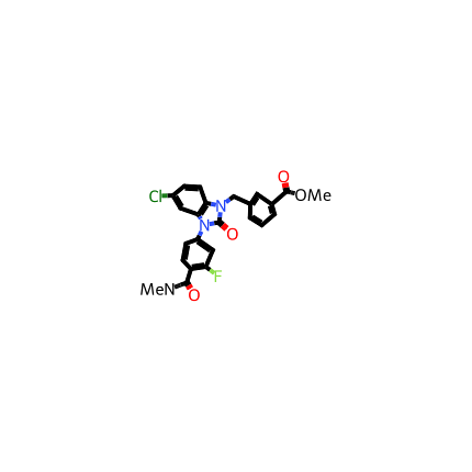 CNC(=O)c1ccc(-n2c(=O)n(Cc3cccc(C(=O)OC)c3)c3ccc(Cl)cc32)cc1F